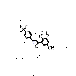 COc1ccc(C)cc1C(=O)/C=C/c1ccc(C(F)(F)F)cc1